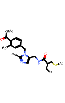 CCCCc1ncc(CNC(=O)C(CSC(C)=O)CC(C)C)n1Cc1ccc(C(=O)OC)c(C)c1